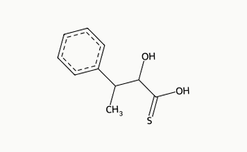 CC(c1ccccc1)C(O)C(O)=S